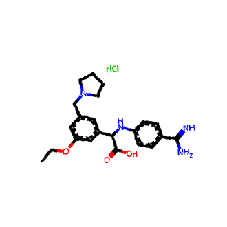 CCOc1cc(CN2CCCC2)cc(C(Nc2ccc(C(=N)N)cc2)C(=O)O)c1.Cl